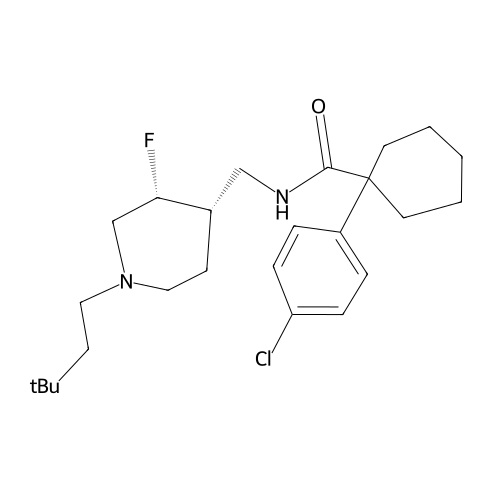 CC(C)(C)CCN1CC[C@@H](CNC(=O)C2(c3ccc(Cl)cc3)CCCCC2)[C@@H](F)C1